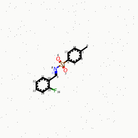 Cc1ccc(S(=O)(=O)/N=C/c2ccccc2F)cc1